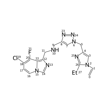 C=Cn1cc(Cn2cc(CNCc3ncn4ccc(Cl)c(F)c34)nn2)nc1CC